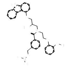 COc1ccccc1OCCN(CC(O)COc1cccc2[nH]c3ccccc3c12)C(=O)c1cccc(CON(O)O)c1